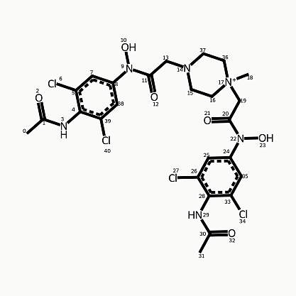 CC(=O)Nc1c(Cl)cc(N(O)C(=O)CN2CC[N+](C)(CC(=O)N(O)c3cc(Cl)c(NC(C)=O)c(Cl)c3)CC2)cc1Cl